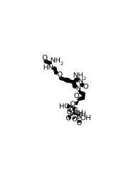 Nc1nc(=O)n([C@H]2CC[C@@H](COP(=O)(O)OP(=O)(O)OP(=O)(O)O)O2)cc1C#CCOCCNC(N)C=O